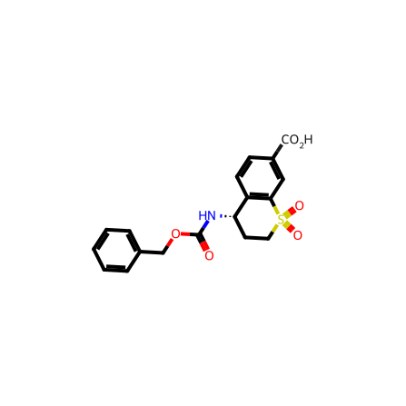 O=C(N[C@H]1CCS(=O)(=O)c2cc(C(=O)O)ccc21)OCc1ccccc1